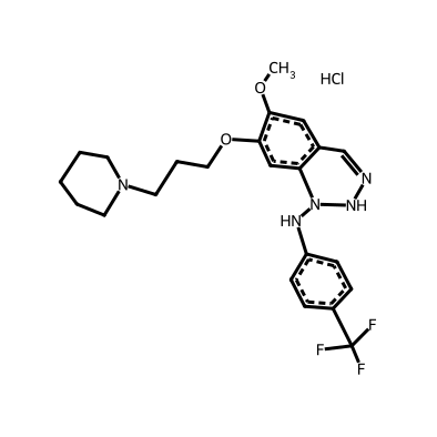 COc1cc2c(cc1OCCCN1CCCCC1)N(Nc1ccc(C(F)(F)F)cc1)NN=C2.Cl